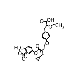 CCOC(Cc1ccc(OCCN(CC2CC2)C(=O)Oc2ccc(C)c([N+](=O)[O-])c2)cc1)C(=O)O